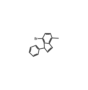 Cc1ccc(Br)c2c1C=CC2c1ccccc1